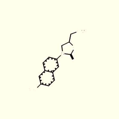 COCC1CN(c2ccc3cc(OC(C)=O)ccc3c2)C(=O)O1